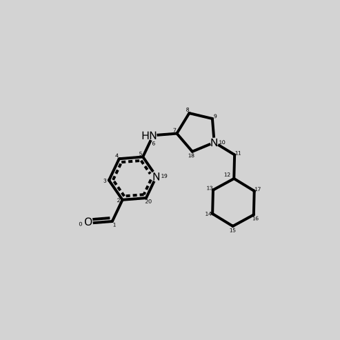 O=Cc1ccc(NC2CCN(CC3CCCCC3)C2)nc1